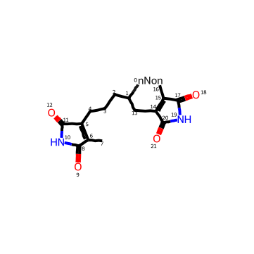 CCCCCCCCCC(CCCC1=C(C)C(=O)NC1=O)CC1=C(C)C(=O)NC1=O